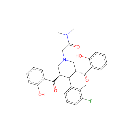 Cc1c(F)cccc1C1[C@@H](C(=O)c2ccccc2O)CN(CC(=O)N(C)C)C[C@@H]1C(=O)c1ccccc1O